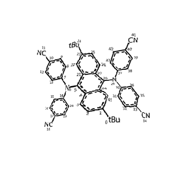 CC(C)(C)c1ccc2c(N(c3ccc(C#N)cc3)c3ccc(C#N)cc3)c3cc(C(C)(C)C)ccc3c(N(c3ccc(C#N)cc3)c3ccc(C#N)cc3)c2c1